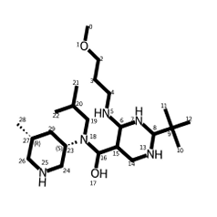 COCCCNC1NC(C(C)(C)C)NCC1C(O)N(CC(C)C)[C@@H]1CNC[C@H](C)C1